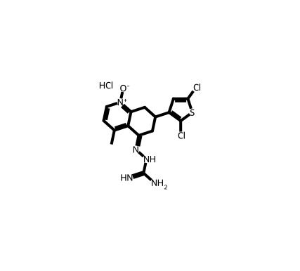 Cc1cc[n+]([O-])c2c1C(=NNC(=N)N)CC(c1cc(Cl)sc1Cl)C2.Cl